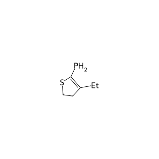 CCC1=C(P)SCC1